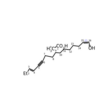 CC(=O)O.CCC=CC#CCCCCCCCC/C=C\O